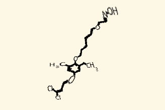 CCc1cc(OCC=C(Cl)Cl)cc(C)c1OCCCCCCOC/C=N/O